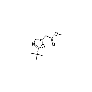 COC(=O)Cc1cnc(C(C)(C)C)o1